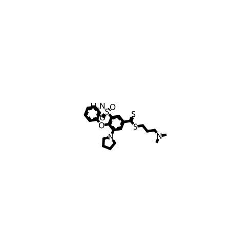 CN(C)CCCSC(=S)c1cc(N2CCCC2)c(Oc2ccccc2)c(S(N)(=O)=O)c1